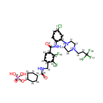 O=C(Nc1ccc(Cl)cc1N1CCN(CCC(F)(F)F)CC1)c1ccc(CNC(=O)[C@H]2CC[C@H](OP(=O)(O)O)CC2)c(F)c1F